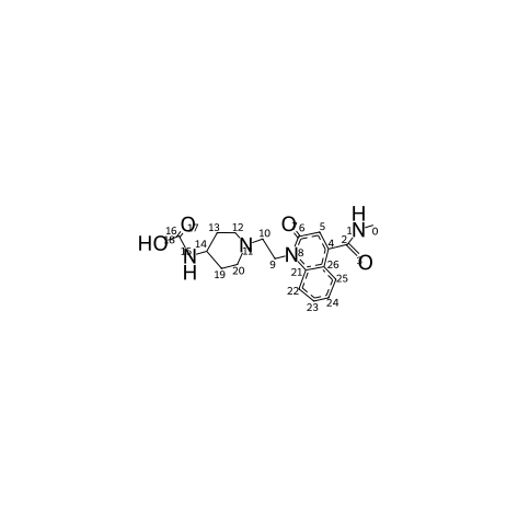 CNC(=O)c1cc(=O)n(CCN2CCC(NC(=O)O)CC2)c2ccccc12